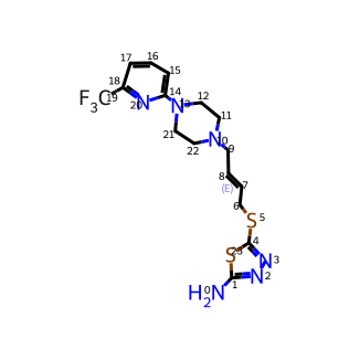 Nc1nnc(SC/C=C/CN2CCN(c3cccc(C(F)(F)F)n3)CC2)s1